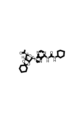 CC(=O)[C@H]1O[C@@H](n2cnc3c(NC(=O)NC4CCCCC4)ncnc32)C2OC3(CCCCC3)O[C@H]21